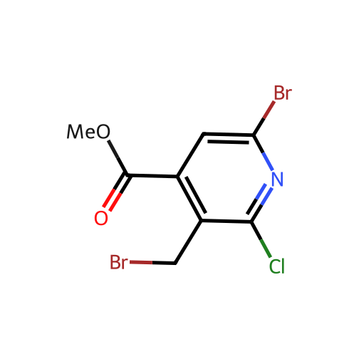 COC(=O)c1cc(Br)nc(Cl)c1CBr